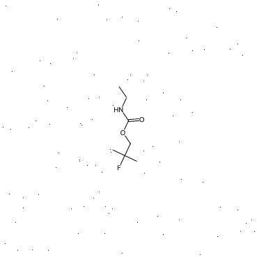 CCNC(=O)OCC(C)(C)F